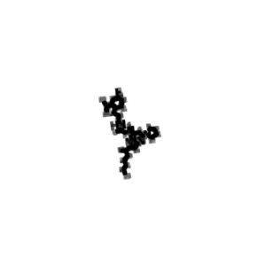 C=C(CN(C)c1cc(N2CCCC2)nc2cc(C(C)CCCCC)nn12)NCCCc1ccc(F)cc1C(=C)C